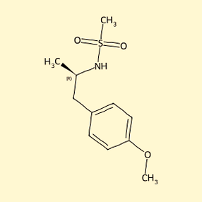 COc1ccc(C[C@@H](C)NS(C)(=O)=O)cc1